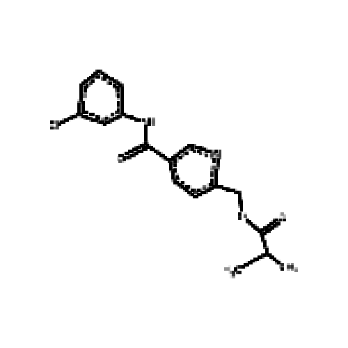 CC(C)C(=O)OCc1ccc(C(=O)Nc2cccc(Cl)c2)cn1